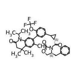 Cc1cc2c(cc1-c1cc(C3C[C@@H]3C(=O)N3C(=O)OC[C@@H]3Cc3ccccc3)ccc1OC(F)(F)F)N(C(C)C)C(=O)CC2(C)C